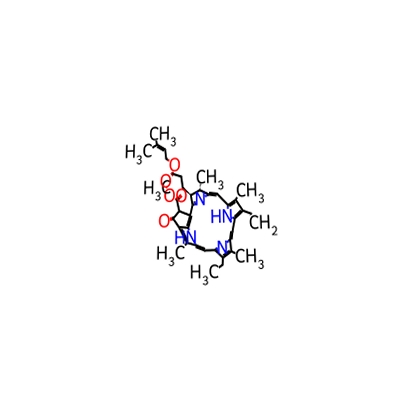 C=Cc1c(C)c2cc3nc(c4c5[nH]c(cc6nc(cc1[nH]2)C(C)=C6CC)c(C)c5C(=O)C4C(=O)OC)[C@@H](CCC(=O)OCC=C(C)C)[C@@H]3C